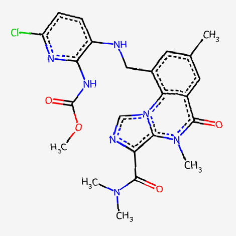 COC(=O)Nc1nc(Cl)ccc1NCc1cc(C)cc2c(=O)n(C)c3c(C(=O)N(C)C)ncn3c12